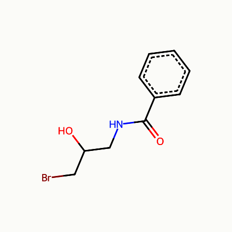 O=C(NCC(O)CBr)c1ccccc1